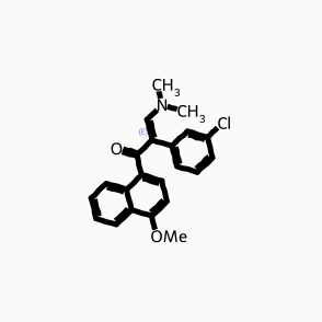 COc1ccc(C(=O)/C(=C/N(C)C)c2cccc(Cl)c2)c2ccccc12